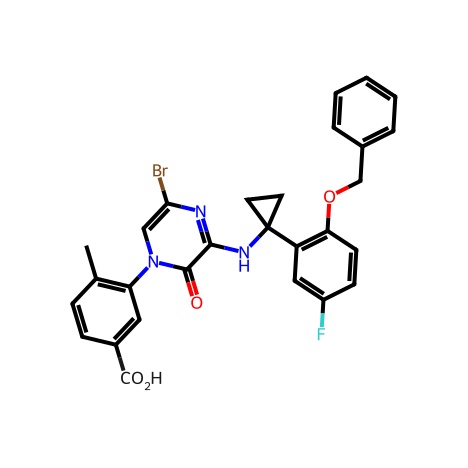 Cc1ccc(C(=O)O)cc1-n1cc(Br)nc(NC2(c3cc(F)ccc3OCc3ccccc3)CC2)c1=O